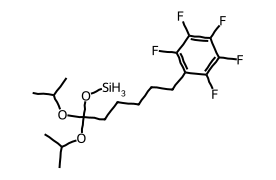 CC(C)OC(CCCCCc1c(F)c(F)c(F)c(F)c1F)(O[SiH3])OC(C)C